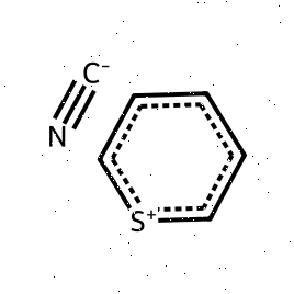 [C-]#N.c1cc[s+]cc1